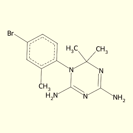 Cc1cc(Br)ccc1N1C(N)=NC(N)=NC1(C)C